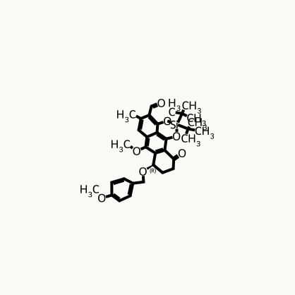 COc1ccc(CO[C@@H]2CCC(=O)c3c2c(OC)c2cc(C)c(C=O)c4c2c3O[Si](C(C)(C)C)(C(C)(C)C)O4)cc1